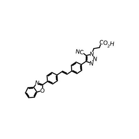 N#Cc1c(-c2ccc(C=Cc3ccc(-c4nc5ccccc5o4)cc3)cc2)nnn1CCC(=O)O